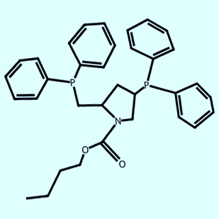 CCCCOC(=O)N1CC(P(c2ccccc2)c2ccccc2)CC1CP(c1ccccc1)c1ccccc1